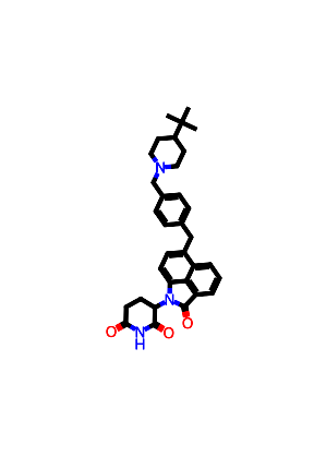 CC(C)(C)C1CCN(Cc2ccc(Cc3ccc4c5c(cccc35)C(=O)N4C3CCC(=O)NC3=O)cc2)CC1